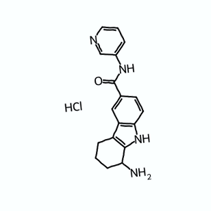 Cl.NC1CCCc2c1[nH]c1ccc(C(=O)Nc3cccnc3)cc21